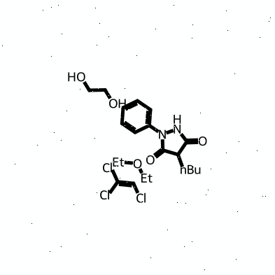 CCCCC1C(=O)NN(c2ccccc2)C1=O.CCOCC.ClC=C(Cl)Cl.OCCO